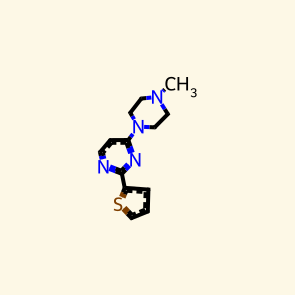 CN1CCN(c2ccnc(-c3cccs3)n2)CC1